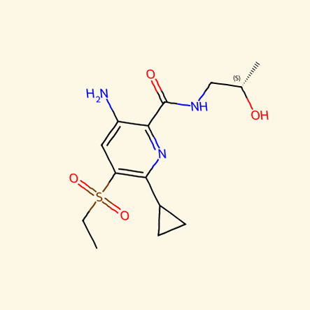 CCS(=O)(=O)c1cc(N)c(C(=O)NC[C@H](C)O)nc1C1CC1